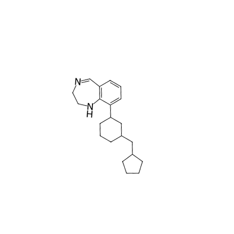 C1=NCCNc2c1cccc2C1CCCC(CC2CCCC2)C1